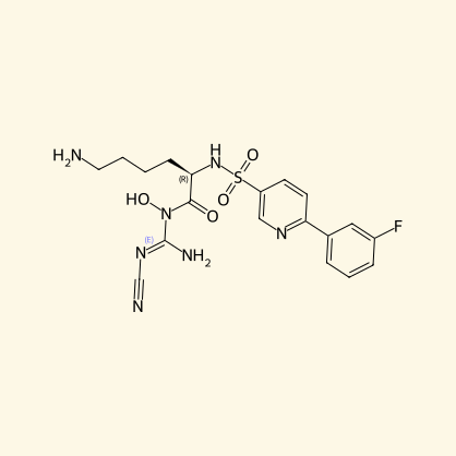 N#C/N=C(\N)N(O)C(=O)[C@@H](CCCCN)NS(=O)(=O)c1ccc(-c2cccc(F)c2)nc1